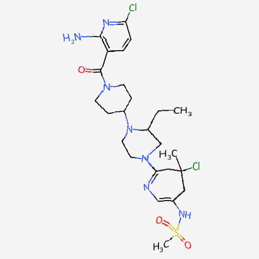 CCC1CN(C2=NC=C(NS(C)(=O)=O)CC2(C)Cl)CCN1C1CCN(C(=O)c2ccc(Cl)nc2N)CC1